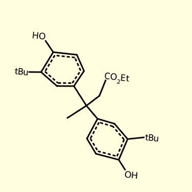 CCOC(=O)CC(C)(c1ccc(O)c(C(C)(C)C)c1)c1ccc(O)c(C(C)(C)C)c1